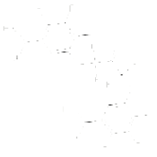 CC(C)c1cc(OC(F)(F)C(=O)C(F)(F)Oc2cc(C(C)C)c(F)c(F)c2F)c(F)c(F)c1F